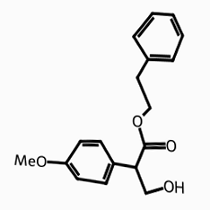 COc1ccc(C(CO)C(=O)OCCc2ccccc2)cc1